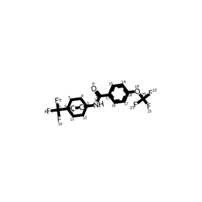 O=C(NC12CCC(C(F)(F)F)(CC1)CC2)c1ccc(OC(F)(F)F)cc1